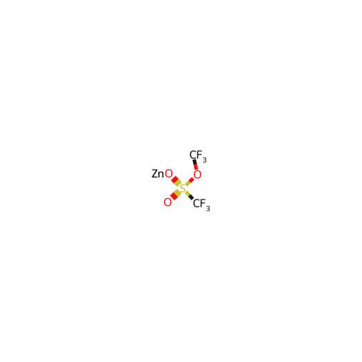 O=S(=O)(OC(F)(F)F)C(F)(F)F.[Zn]